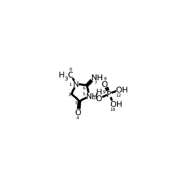 CN1CC(=O)NC1=N.O=P(O)(O)O